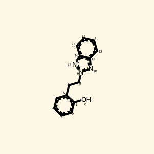 Oc1ccccc1CCn1nc2ccccc2n1